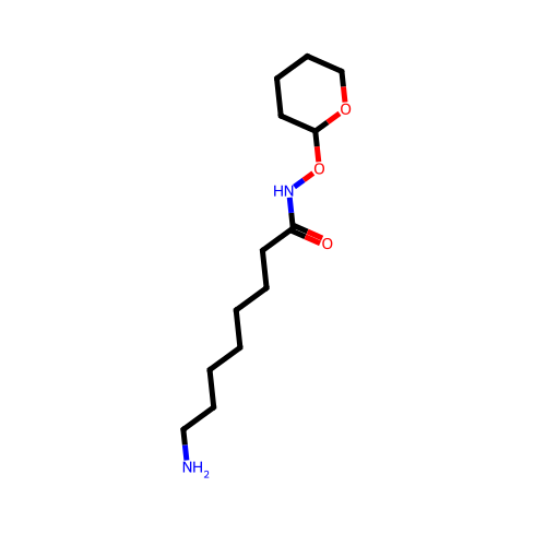 NCCCCCCCC(=O)NOC1CCCCO1